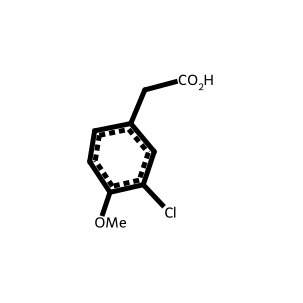 COc1ccc(CC(=O)O)cc1Cl